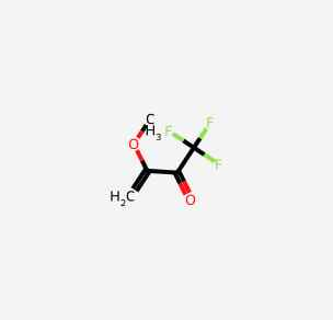 C=C(OC)C(=O)C(F)(F)F